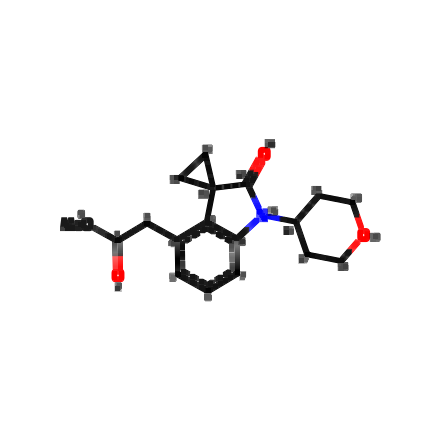 COC(=O)Cc1cccc2c1C1(CC1)C(=O)N2C1CCOCC1